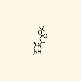 C=C(CNC)N(C)C(C)CC(=O)OC(C)(C)C